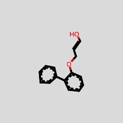 OC=CCOc1ccccc1-c1ccccc1